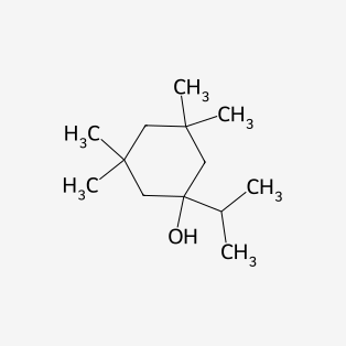 CC(C)C1(O)CC(C)(C)CC(C)(C)C1